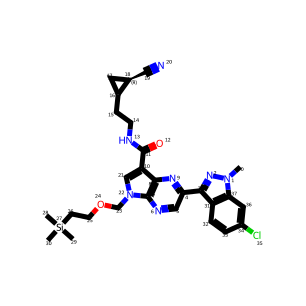 Cn1nc(-c2cnc3c(n2)c(C(=O)NCCC2C[C@H]2C#N)cn3COCC[Si](C)(C)C)c2ccc(Cl)cc21